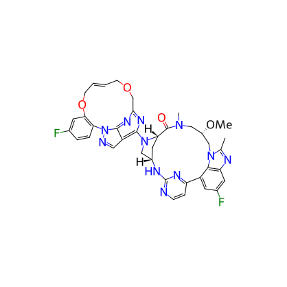 CO[C@H]1CN(C)C(=O)[C@@H]2C[C@@H](CN2c2nc3nc4c2cnn4-c2ccc(F)cc2OC/C=C/COC3)Nc2nccc(n2)-c2cc(F)cc3nc(C)n(c23)C1